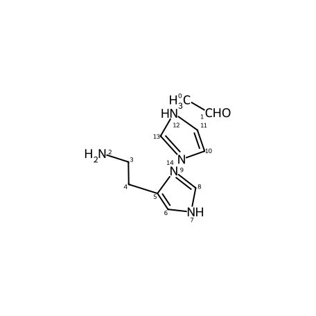 CC=O.NCCc1c[nH]cn1.c1c[nH]cn1